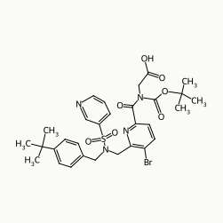 CC(C)(C)OC(=O)N(CC(=O)O)C(=O)c1ccc(Br)c(CN(Cc2ccc(C(C)(C)C)cc2)S(=O)(=O)c2cccnc2)n1